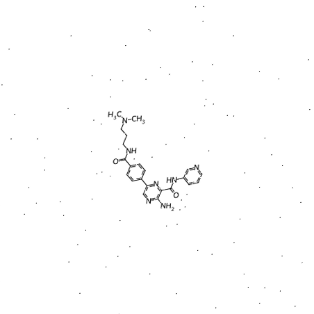 CN(C)CCCNC(=O)c1ccc(-c2cnc(N)c(C(=O)Nc3cccnc3)n2)cc1